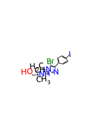 C=C(NC(C)(C)CO)n1cnc(-c2ccc(I)cc2)c1Br